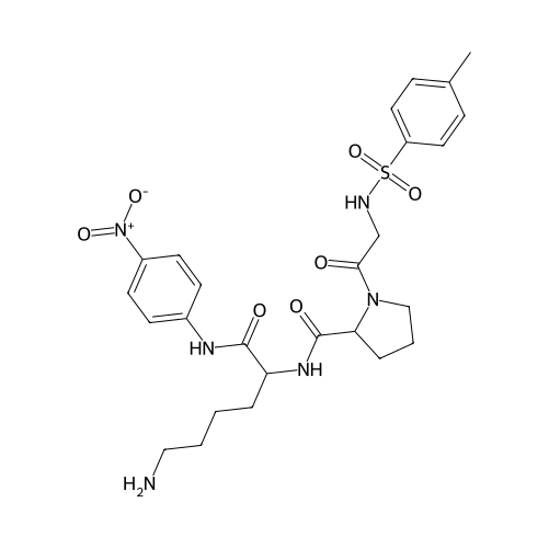 Cc1ccc(S(=O)(=O)NCC(=O)N2CCCC2C(=O)NC(CCCCN)C(=O)Nc2ccc([N+](=O)[O-])cc2)cc1